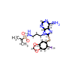 CC(C)S(=O)(=O)NCCCn1c(Sc2cc3c(cc2I)OCO3)nc2c(N)ncnc21